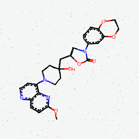 COc1ccc2nccc(N3CCC(O)(CC4CN(c5ccc6c(c5)OCCO6)C(=O)O4)CC3)c2n1